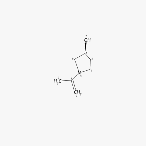 C=C(C)N1CC[C@H](O)C1